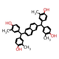 Cc1cc(C(c2ccc(O)c(C)c2)c2ccc3cc(C(c4ccc(O)c(C)c4)c4ccc(O)c(C)c4)ccc3c2)ccc1O